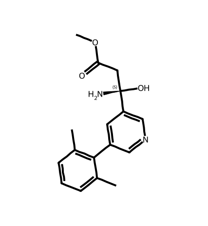 COC(=O)C[C@](N)(O)c1cncc(-c2c(C)cccc2C)c1